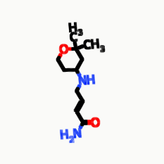 CC1(C)CC(NCC=CC(N)=O)CCO1